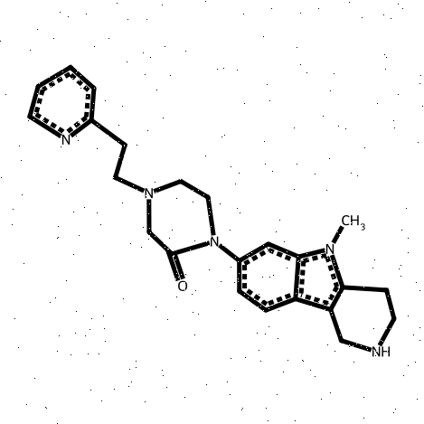 Cn1c2c(c3ccc(N4CCN(CCc5ccccn5)CC4=O)cc31)CNCC2